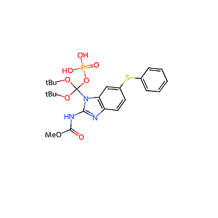 COC(=O)Nc1nc2ccc(Sc3ccccc3)cc2n1C(OC(C)(C)C)(OC(C)(C)C)OP(=O)(O)O